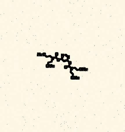 COCCN(CCOC)C(=O)Oc1cc(OC(=O)N(CCOC)CCOC)ncn1